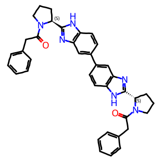 O=C(Cc1ccccc1)N1CCC[C@H]1c1nc2cc(-c3ccc4[nH]c([C@@H]5CCCN5C(=O)Cc5ccccc5)nc4c3)ccc2[nH]1